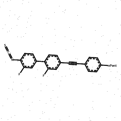 CCCCCc1ccc(C#Cc2ccc(-c3ccc(N=C=S)c(F)c3)c(F)c2)cc1